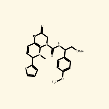 COCC(NC(=O)N1CC(=O)NC2=C1N(C)C(c1cccs1)C=C2)c1ccc(OC(F)(F)F)cc1